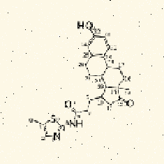 Cc1cnc(NC(=O)CCC2CC(=O)C3(C)CCC4c5ccc(O)cc5CCC4C23)s1